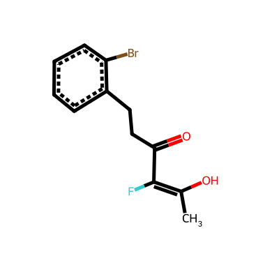 C/C(O)=C(\F)C(=O)CCc1ccccc1Br